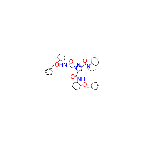 O=C(Cn1nc(C(=O)N2CCCC3CC=CC=C32)cc1C(=O)N[C@H]1CCCC[C@@H]1OCc1ccccc1)N[C@H]1CCCC[C@@H]1OCc1ccccc1